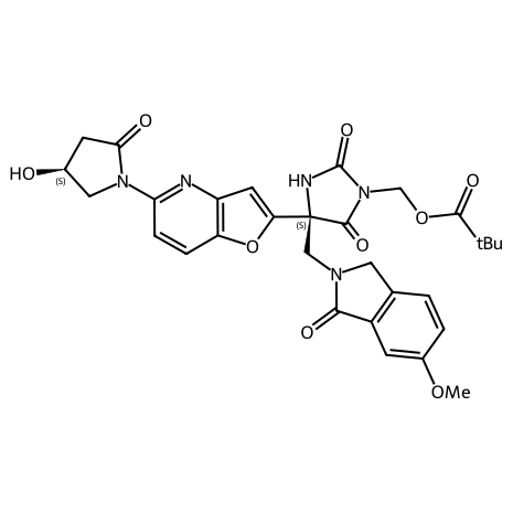 COc1ccc2c(c1)C(=O)N(C[C@@]1(c3cc4nc(N5C[C@@H](O)CC5=O)ccc4o3)NC(=O)N(COC(=O)C(C)(C)C)C1=O)C2